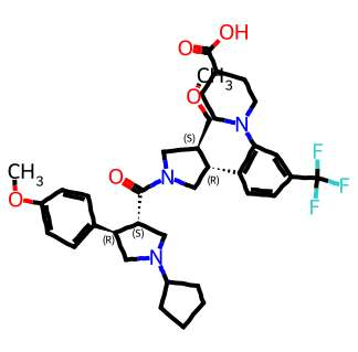 COC[C@@H]1CN(C(=O)[C@@H]2CN(C3CCCC3)C[C@H]2c2ccc(OC)cc2)C[C@H]1c1ccc(C(F)(F)F)cc1N1CCC(C(=O)O)CC1